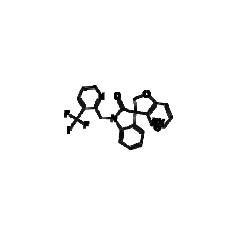 O=C1N(Cc2ncccc2C(F)(F)F)c2ccccc2C12COc1ccc3nonc3c12